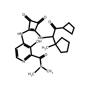 CN(C)C(=O)c1nccc(Nc2c(NC(C(=O)C3CCC3)C3(C)CCCC3)c(=O)c2=O)c1O